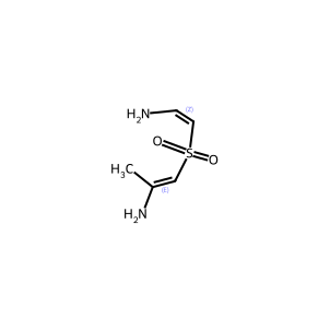 C/C(N)=C\S(=O)(=O)/C=C\N